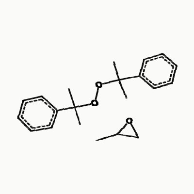 CC(C)(OOC(C)(C)c1ccccc1)c1ccccc1.CC1CO1